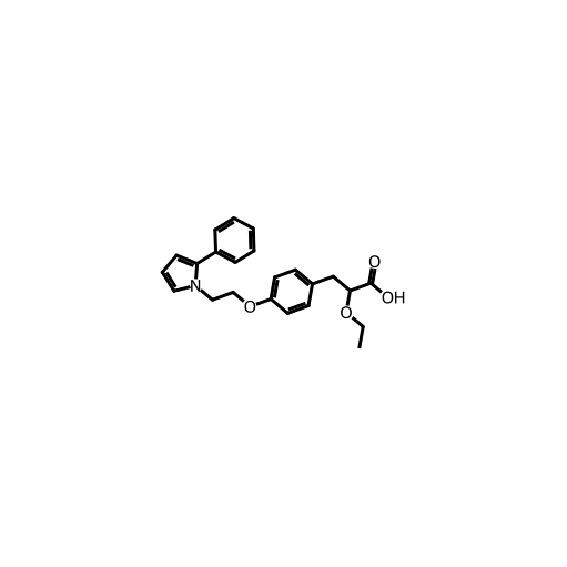 CCOC(Cc1ccc(OCCn2cccc2-c2ccccc2)cc1)C(=O)O